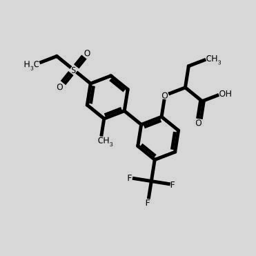 CCC(Oc1ccc(C(F)(F)F)cc1-c1ccc(S(=O)(=O)CC)cc1C)C(=O)O